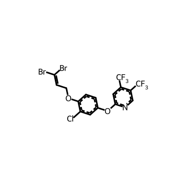 FC(F)(F)c1cnc(Oc2ccc(OCC=C(Br)Br)c(Cl)c2)cc1C(F)(F)F